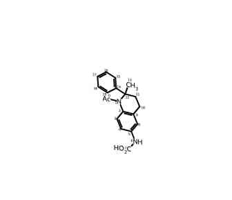 CC(=O)N1c2ccc(NC(=O)O)cc2CCC1(C)c1ccccc1